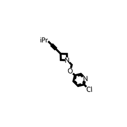 CC(C)C#CC1CN(COc2ccc(Cl)nc2)C1